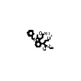 CCOC(=O)C(CC=O)c1cccc2c1c(CC(N)=O)c(C)n2Cc1ccccc1